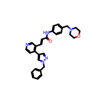 O=C(C=Cc1cnccc1-c1cnn(Cc2ccccc2)c1)Nc1ccc(CN2CCOCC2)cc1